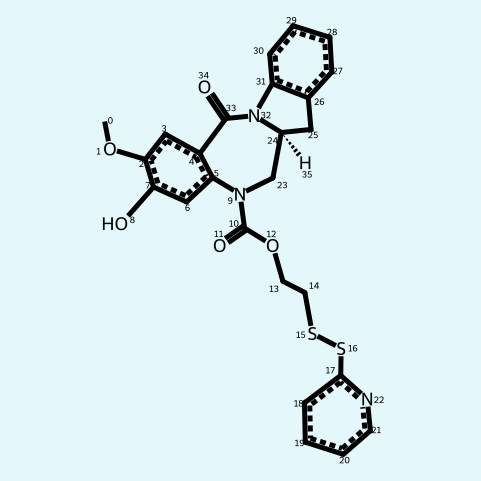 COc1cc2c(cc1O)N(C(=O)OCCSSc1ccccn1)C[C@@H]1Cc3ccccc3N1C2=O